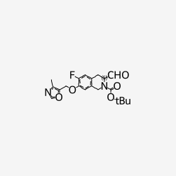 Cc1ncoc1COc1cc2c(cc1F)C[C@@H](C=O)N(C(=O)OC(C)(C)C)C2